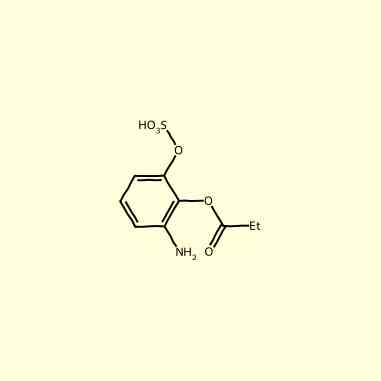 CCC(=O)Oc1c(N)cccc1OS(=O)(=O)O